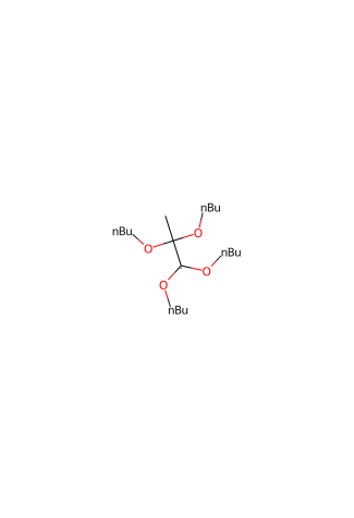 CCCCO[C](OCCCC)C(C)(OCCCC)OCCCC